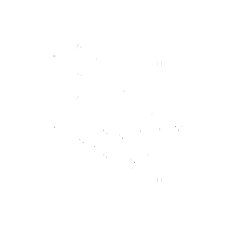 COc1ccc(-c2c(C#N)c(SC)nc3nc(Nc4ccc(Oc5ccncc5)cc4)nn23)cc1